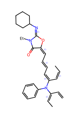 C=C/C(=C\C)N(C(/C=C\C)=C/C=C/C=C1/O/C(=N/C2CCCCC2)N(CC)C1=O)c1ccccc1